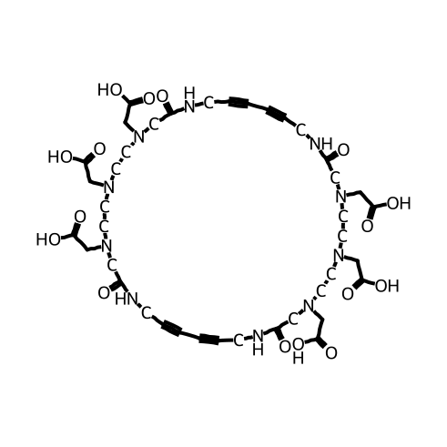 O=C(O)CN1CCN(CC(=O)O)CC(=O)NCC#CC#CCNC(=O)CN(CC(=O)O)CCN(CC(=O)O)CCN(CC(=O)O)CC(=O)NCC#CC#CCNC(=O)CN(CC(=O)O)CC1